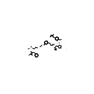 Cc1ccsc1-c1ccc(C(C)NC(=O)[C@@H]2C[C@@H](O)CC2C(=O)[C@@H](NC(=O)CCc2cc(F)cc(OCCNC(=O)CC3N=C(c4ccc(Cl)cc4)c4c([nH]c(C)c4C)-n4c(C)nnc43)c2)C(C)(C)C)cc1